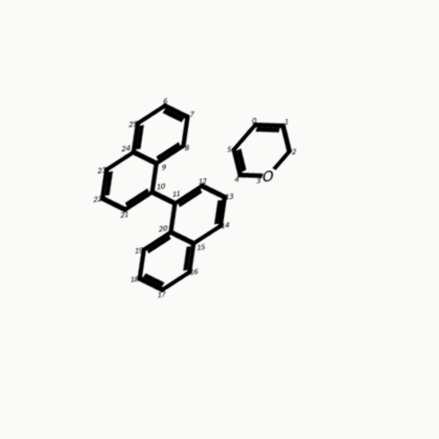 C1=CCOC=C1.c1ccc2c(-c3cccc4ccccc34)cccc2c1